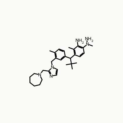 Cc1ccc(C(c2ccc(N(C)N)c(N)c2C)C(C)(C)C)cc1Cn1ccnc1CN1CCCCCC1